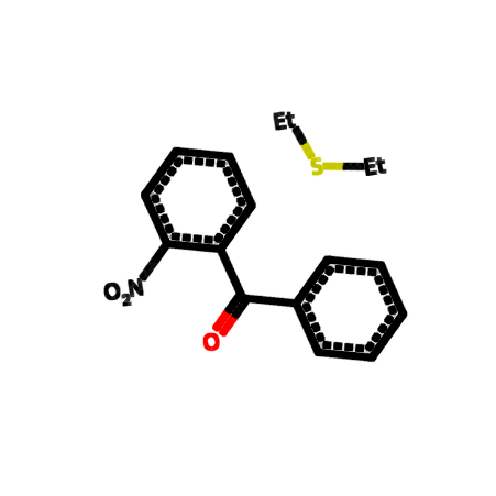 CCSCC.O=C(c1ccccc1)c1ccccc1[N+](=O)[O-]